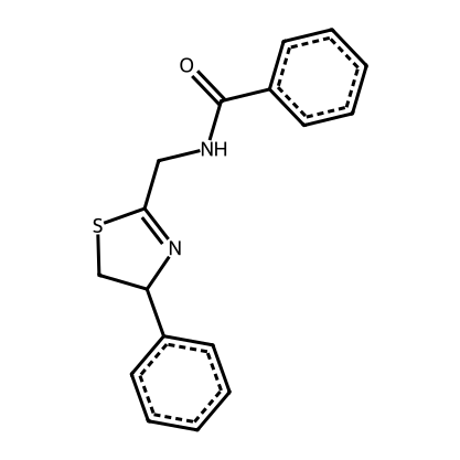 O=C(NCC1=NC(c2ccccc2)CS1)c1ccccc1